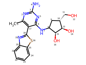 Cc1nc(N)nc(NC2C[C@H](CO)[C@@H](O)[C@H]2O)c1-c1nc2ccccc2s1